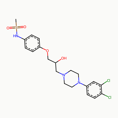 CS(=O)(=O)Nc1ccc(OCC(O)CN2CCN(c3ccc(Cl)c(Cl)c3)CC2)cc1